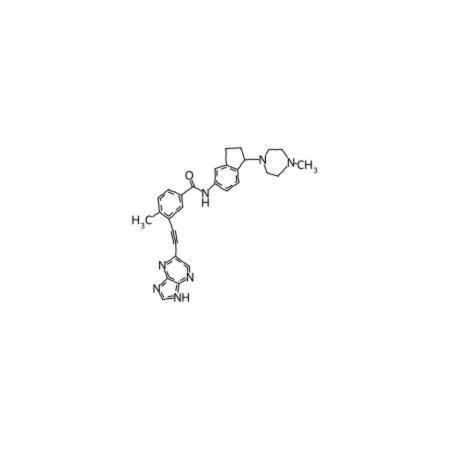 Cc1ccc(C(=O)Nc2ccc3c(c2)CCC3N2CCN(C)CC2)cc1C#Cc1cnc2[nH]cnc2n1